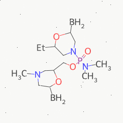 BC1CN(C)CC(COP(=O)(N(C)C)N2CC(B)OC(CC)C2)O1